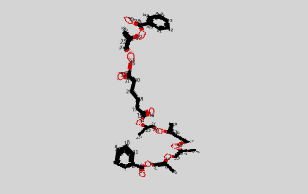 CC(COC(=O)c1ccccc1)OCC(C)OCC(C)OCC(C)OC(=O)CCCCC(=O)OCC(C)OC(=O)c1ccccc1